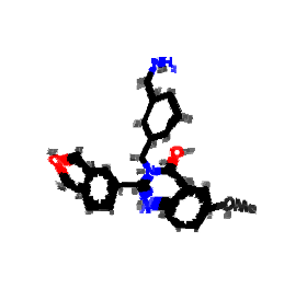 COc1ccc2nc(-c3ccc4cocc4c3)n(CC3CCCC(CN)C3)c(=O)c2c1